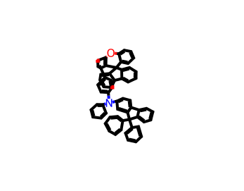 C1=CC=CC=CC=1C1(c2ccccc2)c2ccccc2-c2ccc(N(c3ccccc3)c3ccc(-c4cccc5c4C4(c6ccccc6O5)c5ccccc5-c5ccccc54)cc3)cc21